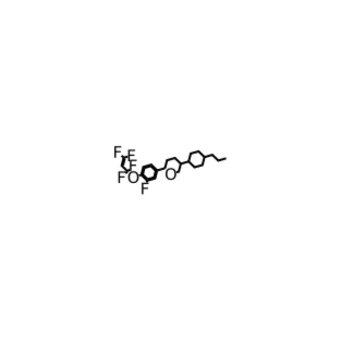 CCCC1CCC(C2CCC(c3ccc(OC(F)(F)C=C(F)F)c(F)c3)OC2)CC1